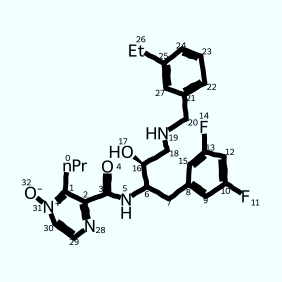 CCCc1c(C(=O)NC(Cc2cc(F)cc(F)c2)[C@@H](O)CNCc2cccc(CC)c2)ncc[n+]1[O-]